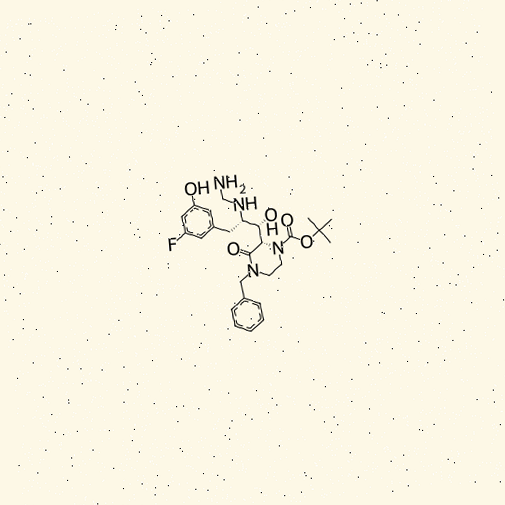 CC(C)(C)OC(=O)N1CCN(Cc2ccccc2)C(=O)[C@@H]1[C@@H](O)[C@H](Cc1cc(O)cc(F)c1)NCN